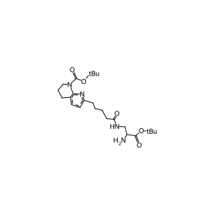 CC(C)(C)OC(=O)C(N)CNC(=O)CCCCc1ccc2c(n1)N(C(=O)OC(C)(C)C)CCC2